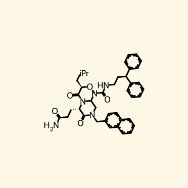 CC(C)C[C@H]1ON(C(=O)NCCC(c2ccccc2)c2ccccc2)C2CN(Cc3ccc4ccccc4c3)C(=O)[C@H](CCC(N)=O)N2C1=O